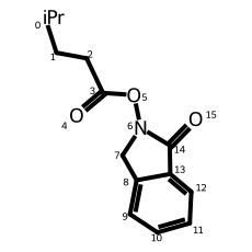 CC(C)CCC(=O)ON1Cc2ccccc2C1=O